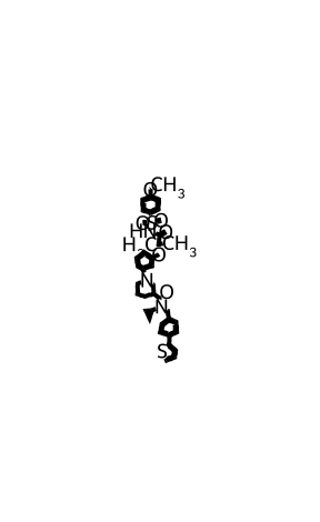 COc1ccc(S(=O)(=O)NC(=O)C(C)(C)Oc2cccc(N3CCCC(C(=O)N(Cc4ccc(-c5cccs5)cc4)C4CC4)C3)c2)cc1